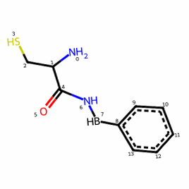 NC(CS)C(=O)NBc1ccccc1